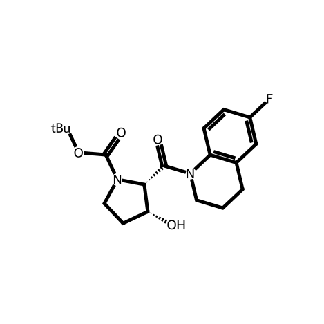 CC(C)(C)OC(=O)N1CC[C@@H](O)[C@H]1C(=O)N1CCCc2cc(F)ccc21